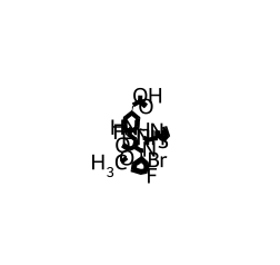 COC(=O)C1=C(CN2[C@H]3C[C@@H](CC(=O)O)C[C@@H]2C(F)(F)C3)NC(c2nccs2)=N[C@H]1c1cccc(F)c1Br